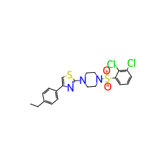 CCc1ccc(-c2csc(N3CCN(S(=O)(=O)c4cccc(Cl)c4Cl)CC3)n2)cc1